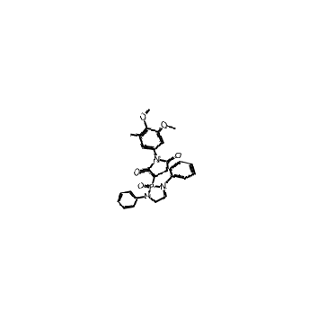 COc1cc(N2C(=O)CC(P3(=O)N(c4ccccc4)CCN3c3ccccc3)C2=O)cc(C)c1OC